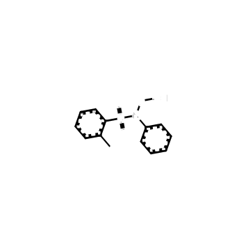 Cc1ccccc1S(=O)(=O)N(SC(Cl)(Cl)Cl)c1ccccc1